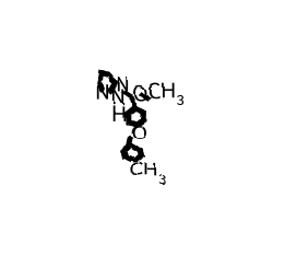 CCOC(c1ccc(OCc2ccc(C)cc2)cc1)c1nc2cccnc2[nH]1